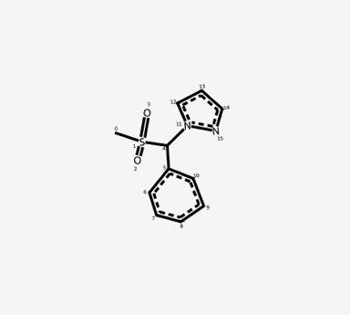 CS(=O)(=O)C(c1cc[c]cc1)n1cccn1